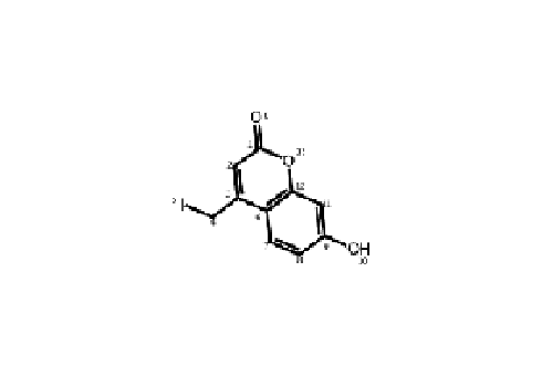 O=c1cc(CI)c2ccc(O)cc2o1